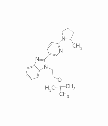 CC1CCCN1c1ccc(-c2nc3ccccc3n2CCOC(C)(C)C)cn1